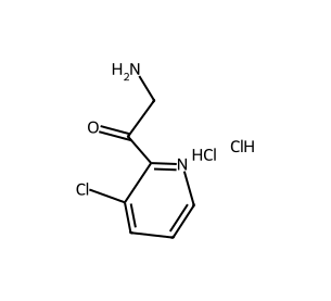 Cl.Cl.NCC(=O)c1ncccc1Cl